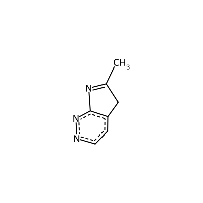 CC1=Nc2nnccc2C1